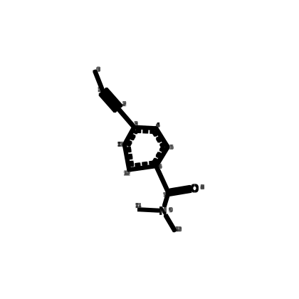 CC#Cc1ccc(C(=O)N(C)C)cc1